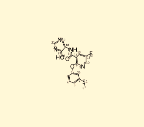 CSc1cccc(Oc2ncc(F)cc2C(=O)Nc2cncnc2O)c1